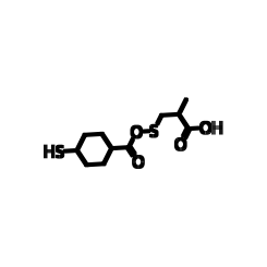 CC(CSOC(=O)C1CCC(S)CC1)C(=O)O